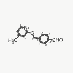 Cc1ccnc(OCc2ccc(C=O)cc2)c1